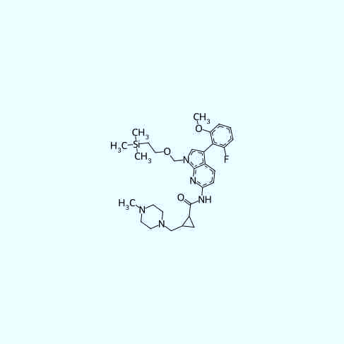 COc1cccc(F)c1-c1cn(COCC[Si](C)(C)C)c2nc(NC(=O)C3CC3CN3CCN(C)CC3)ccc12